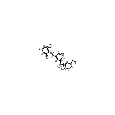 CCC1CCC(C)N(C(=O)c2cncc(COc3c(Cl)cccc3Cl)c2)C1